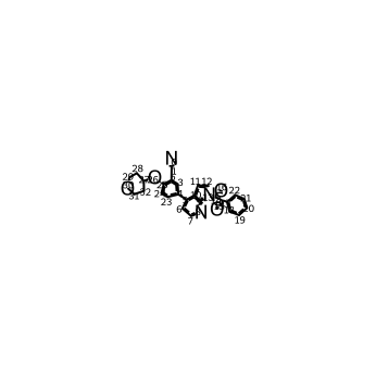 N#Cc1cc(-c2ccnc3c2ccn3S(=O)(=O)c2ccccc2)ccc1OC1CCOCC1